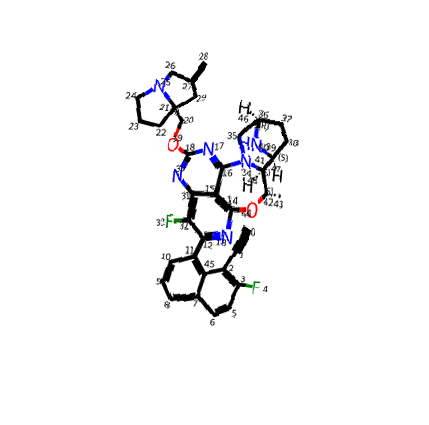 C#Cc1c(F)ccc2cccc(-c3nc4c5c(nc(OC[C@@]67CCCN6CC(=C)C7)nc5c3F)N3C[C@H]5CC[C@H](N5)[C@H]3[C@H](C)O4)c12